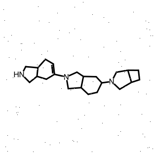 C1=C(N2CC3CCC(N4CC5CCC5C4)CC3C2)CC2CNCC2C1